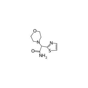 NC(=O)C(c1nccs1)N1CCOCC1